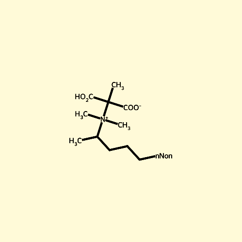 CCCCCCCCCCCCC(C)[N+](C)(C)C(C)(C(=O)[O-])C(=O)O